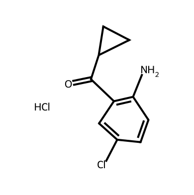 Cl.Nc1ccc(Cl)cc1C(=O)C1CC1